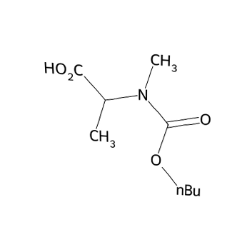 CCCCOC(=O)N(C)C(C)C(=O)O